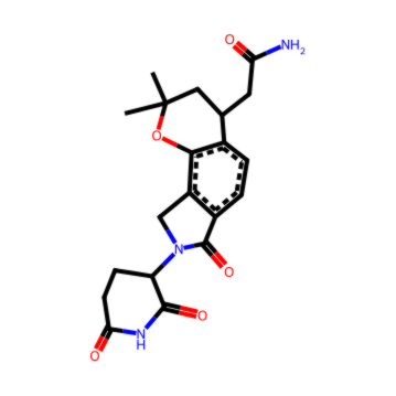 CC1(C)CC(CC(N)=O)c2ccc3c(c2O1)CN(C1CCC(=O)NC1=O)C3=O